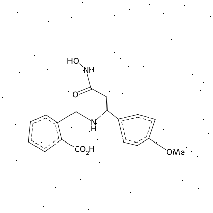 COc1ccc(C(CC(=O)NO)NCc2ccccc2C(=O)O)cc1